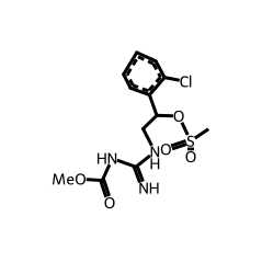 COC(=O)NC(=N)NCC(OS(C)(=O)=O)c1ccccc1Cl